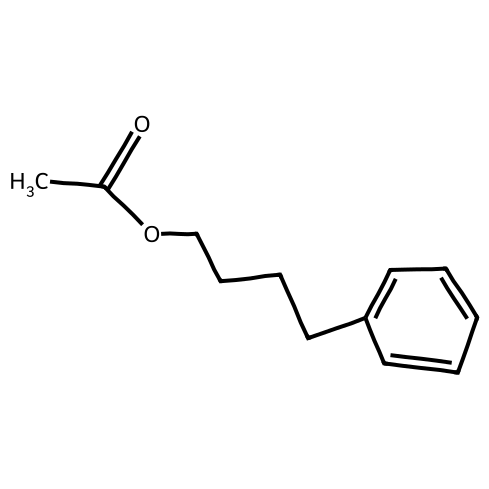 CC(=O)OCCCCc1ccccc1